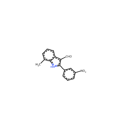 Cc1cccc2c(C=O)c(-c3cccc([N+](=O)[O-])c3)[nH]c12